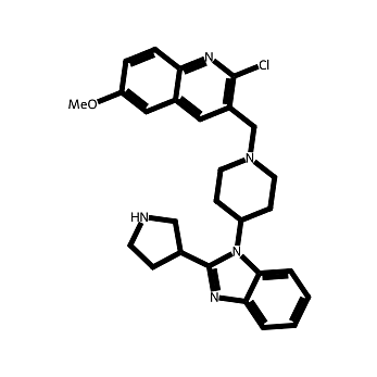 COc1ccc2nc(Cl)c(CN3CCC(n4c(C5CCNC5)nc5ccccc54)CC3)cc2c1